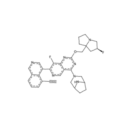 C#Cc1cccc2cncc(-c3ncc4c(N5CC6CCC(C5)N6)nc(OCC56CCCN5C[C@@H](F)C6)nc4c3F)c12